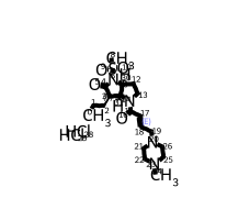 CCC[C@H]1C(=O)N(S(C)(=O)=O)[C@H]2CCN(C(=O)/C=C/CN3CCN(C)CC3)[C@H]12.Cl.Cl